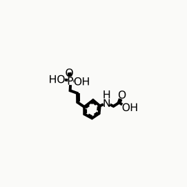 O=C(O)CNc1cccc(C=CCP(=O)(O)O)c1